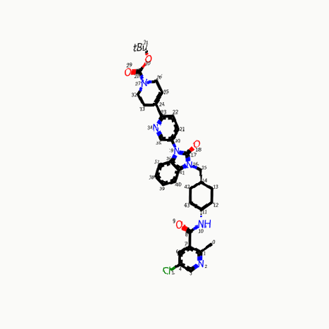 Cc1ncc(Cl)cc1C(=O)N[C@H]1CC[C@H](Cn2c(=O)n(-c3ccc(C4=CCN(C(=O)OC(C)(C)C)CC4)nc3)c3ccccc32)CC1